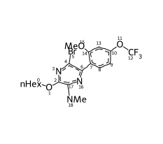 CCCCCCOc1nc(Br)c(-c2ccc(OC(F)(F)F)cc2OC)nc1NC